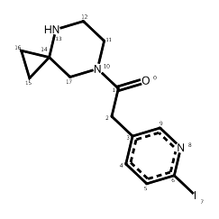 O=C(Cc1ccc(I)nc1)N1CCNC2(CC2)C1